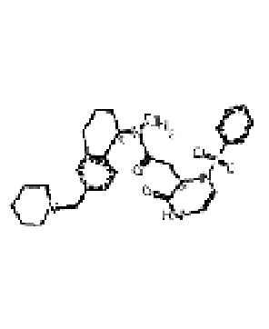 CN(C(=O)C[C@@H]1C(=O)NC=CN1S(=O)(=O)c1ccccc1)[C@@H]1CCCc2cc(CN3CCCCC3)ccc21